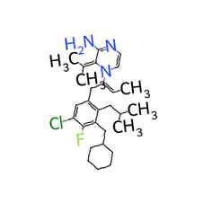 CC=C(Cc1cc(Cl)c(F)c(CC2CCCCC2)c1CC(C)C)N1C=CN=C(N)C1=C(C)C